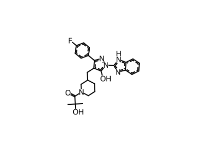 CC(C)(O)C(=O)N1CCCC(Cc2c(-c3ccc(F)cc3)nn(-c3nc4ccccc4[nH]3)c2O)C1